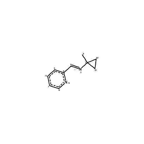 CC1(/N=C/c2ccccn2)CC1